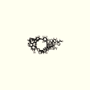 C=CC(=O)N1CCC(O)(C(=O)N(C)[C@H](C(=O)N[C@H]2Cc3cccc(c3)-c3ccc4c(c3)c(c(-c3cc(CN(C)C)cnc3[C@H](C)OC)n4CC)CC(C)(C)COC(=O)[C@@H]3CCCN(N3)C2=O)C(C)C)C1